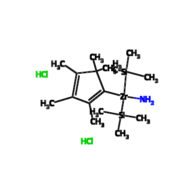 CC1=C(C)C(C)(C)[C]([Zr]([NH2])([Si](C)(C)C)[Si](C)(C)C)=C1C.Cl.Cl